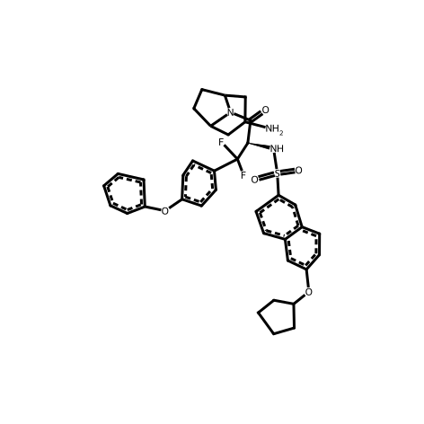 NC1CC2CCC(C1)N2C(=O)[C@@H](NS(=O)(=O)c1ccc2cc(OC3CCCC3)ccc2c1)C(F)(F)c1ccc(Oc2ccccc2)cc1